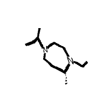 CCN1CCN(C(C)C)CC[C@H]1C